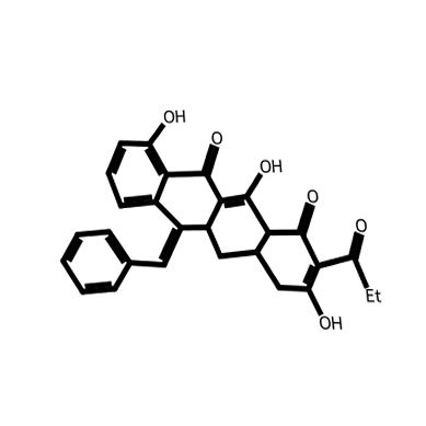 CCC(=O)C1=C(O)CC2CC3C(=C(O)C2C1=O)C(=O)c1c(O)cccc1/C3=C\c1ccccc1